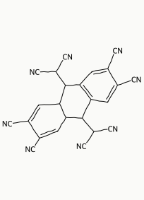 N#CC1=CC2C(C=C1C#N)C(C(C#N)C#N)c1cc(C#N)c(C#N)cc1C2C(C#N)C#N